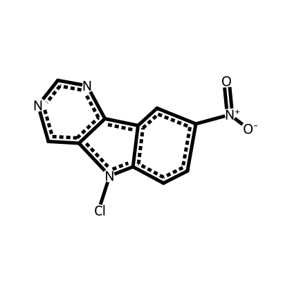 O=[N+]([O-])c1ccc2c(c1)c1ncncc1n2Cl